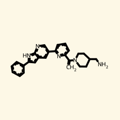 C=C(c1cccc(-c2cnc3[nH]c(-c4ccccc4)cc3c2)n1)N1CCC(CN)CC1